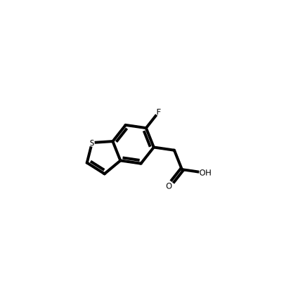 O=C(O)Cc1cc2ccsc2cc1F